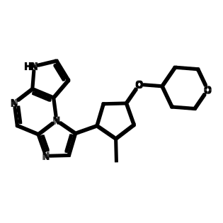 CC1CC(OC2CCOCC2)CC1c1cnc2cnc3[nH]ccc3n12